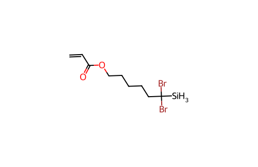 C=CC(=O)OCCCCCC([SiH3])(Br)Br